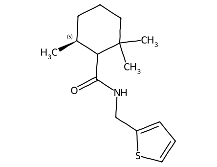 C[C@H]1CCCC(C)(C)C1C(=O)NCc1cccs1